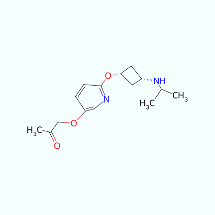 CC(=O)COc1ccc(O[C@H]2C[C@@H](NC(C)C)C2)nc1